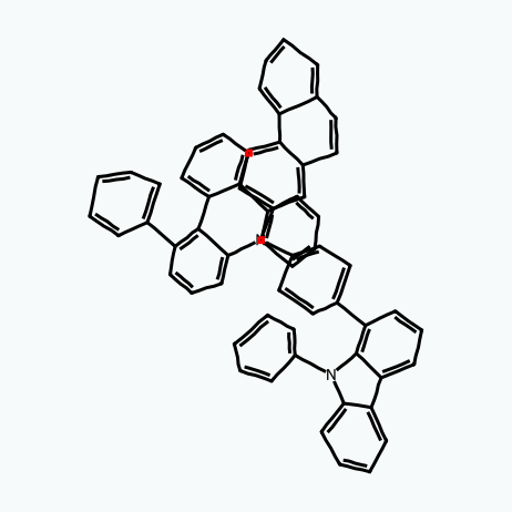 c1ccc(-c2ccccc2-c2c(-c3ccccc3)cccc2N(c2ccc(-c3cccc4c5ccccc5n(-c5ccccc5)c34)cc2)c2ccc3c(ccc4ccccc43)c2)cc1